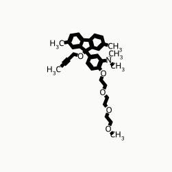 CC#CCOC1(c2ccc(OCCOCCOCCOC)c(N(C)C)c2)c2cc(C)ccc2-c2ccc(C)cc21